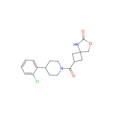 O=C1NC2(CO1)CC(C(=O)N1CCC(c3ccccc3Cl)CC1)C2